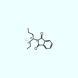 CCC[C@H]([C@@H](C)CC)N1C(=O)c2ccccc2C1=O